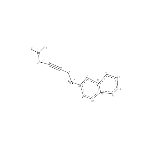 CN(C)CC#CCNc1ccc2ccccc2c1